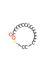 O=C1CCCCCCCCCCCCCC/C=C\CC/C=C/CSO1